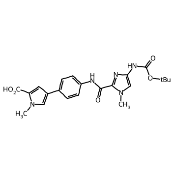 Cn1cc(-c2ccc(NC(=O)c3nc(NC(=O)OC(C)(C)C)cn3C)cc2)cc1C(=O)O